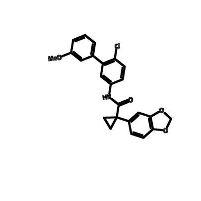 COc1cccc(-c2cc(NC(=O)C3(c4ccc5c(c4)OCO5)CC3)ccc2Cl)c1